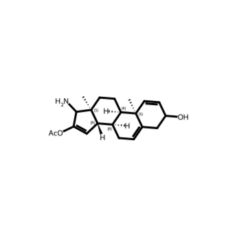 CC(=O)OC1=C[C@H]2[C@@H]3CC=C4CC(O)C=C[C@]4(C)[C@@H]3CC[C@]2(C)C1N